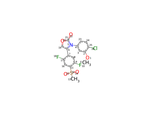 COc1cc(-n2c(-c3cc(F)c(S(C)(=O)=O)cc3F)coc2=O)ccc1Cl